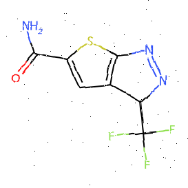 NC(=O)c1cc2c(s1)N=NC2C(F)(F)F